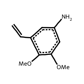 C=Cc1cc(N)cc(OC)c1OC